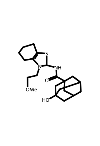 COCCN1C2=C(CCCC2)SC1NC(=O)C12CC3CC(CC(O)(C3)C1)C2